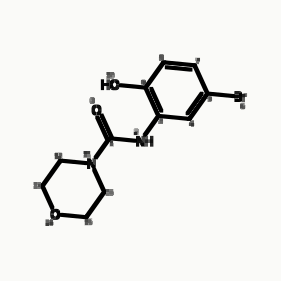 O=C(Nc1cc(Br)ccc1O)N1CCOCC1